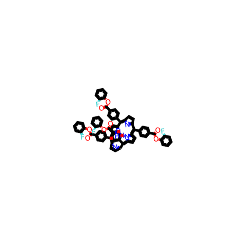 O=C(Oc1ccccc1F)c1ccc(/C2=C3\C=CC(=N3)/C(c3ccc(C(=O)Oc4ccccc4F)cc3)=c3/cc/c4n3Nn3c2ccc3/C(c2ccc(C(=O)Oc3ccccc3F)cc2)=C2/C=CC(=N2)/C=4c2ccc(C(=O)Oc3ccccc3F)cc2)cc1